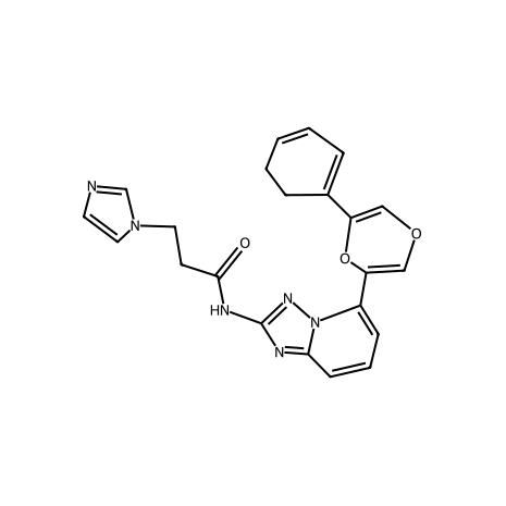 O=C(CCn1ccnc1)Nc1nc2cccc(C3=COC=C(C4=CC=CCC4)O3)n2n1